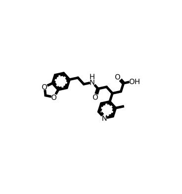 Cc1cnccc1C(CC(=O)O)CC(=O)NCCc1ccc2c(c1)OCO2